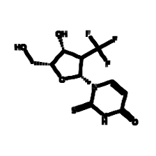 O=c1ccn([C@@H]2O[C@H](CO)[C@H](O)C2C(F)(F)F)c(=S)[nH]1